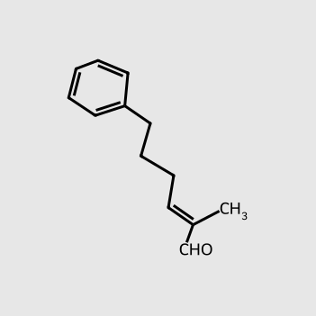 CC(C=O)=CCCCc1ccccc1